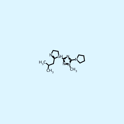 CC(C)CC1=NCC[SH]1c1nc(N2CCCC2)n(C)n1